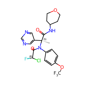 C[C@@](C(=O)NC1CCOCC1)(c1cncnc1)N(C(=O)[C@H](F)Cl)c1ccc(OC(F)(F)F)cc1